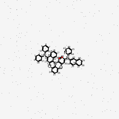 c1ccc(N(c2ccccc2)c2cc3c(c4ccccc24)B2c4c(cccc4Oc4cc(N(c5ccc6ccccc6c5)c5ccccn5)c5ccccc5c42)O3)cc1